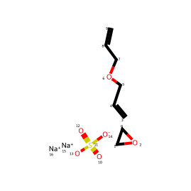 C1CO1.C=CCOCC=C.O=S(=O)([O-])[O-].[Na+].[Na+]